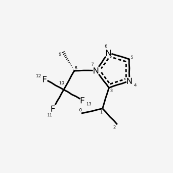 CC(C)c1ncnn1[C@@H](C)C(F)(F)F